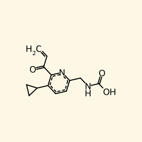 C=CC(=O)c1nc(CNC(=O)O)ccc1C1CC1